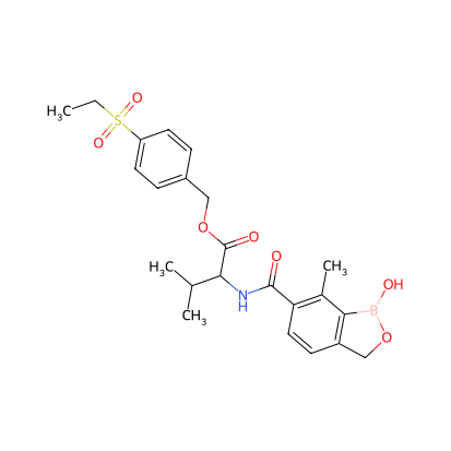 CCS(=O)(=O)c1ccc(COC(=O)C(NC(=O)c2ccc3c(c2C)B(O)OC3)C(C)C)cc1